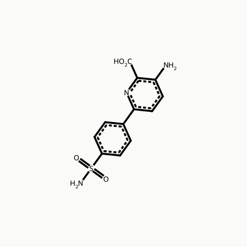 Nc1ccc(-c2ccc(S(N)(=O)=O)cc2)nc1C(=O)O